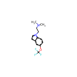 CN(C)CCn1ccc2cc(OC(F)(F)F)ccc21